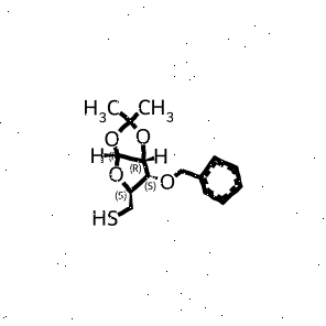 CC1(C)O[C@H]2O[C@H](CS)[C@@H](OCc3ccccc3)[C@H]2O1